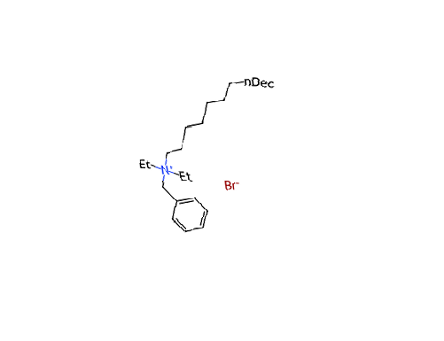 CCCCCCCCCCCCCCCCC[N+](CC)(CC)Cc1ccccc1.[Br-]